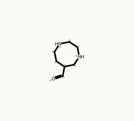 O=[C]C1CCNCCNC1